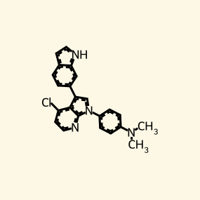 CN(C)c1ccc(-n2cc(-c3ccc4cc[nH]c4c3)c3c(Cl)ccnc32)cc1